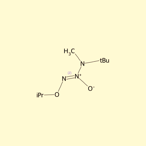 CC(C)O/N=[N+](\[O-])N(C)C(C)(C)C